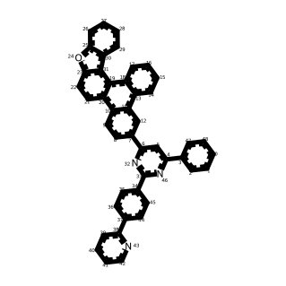 c1ccc(-c2cc(-c3ccc4c(c3)c3ccccc3c3c4ccc4oc5ccccc5c43)nc(-c3ccc(-c4ccccn4)cc3)n2)cc1